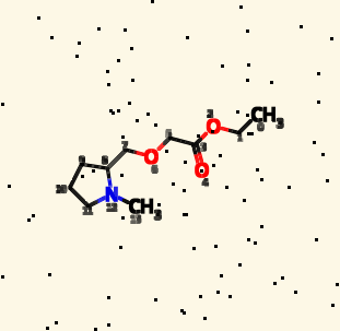 CCOC(=O)COCC1CCCN1C